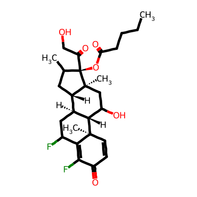 CCCCC(=O)O[C@]1(C(=O)CO)C(C)C[C@H]2[C@@H]3CC(F)C4=C(F)C(=O)C=C[C@]4(C)[C@H]3C(O)C[C@@]21C